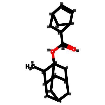 CC1C2CC3CC(C2)CC1(OC(=O)C1CC2C=CC1C2)C3